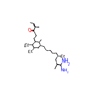 C/C=C(/C)C(=O)CCC1C(C)C(CCCCCC(CC)CC(C)C(N)N)CC(CC)C1CC